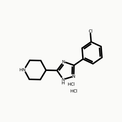 Cl.Cl.Clc1cccc(-c2n[nH]c(C3CCNCC3)n2)c1